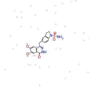 COc1cc2c(Cc3ccc4c(c3)CCN4S(N)(=O)=O)n[nH]c(=O)c2cc1OC